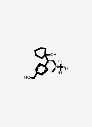 [2H]C([2H])([2H])N(C)C[C@@H](c1ccc(CO)cc1)C1(O)CCCCC1